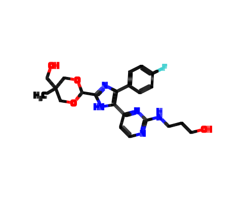 CC1(CO)COC(c2nc(-c3ccc(F)cc3)c(-c3ccnc(NCCCO)n3)[nH]2)OC1